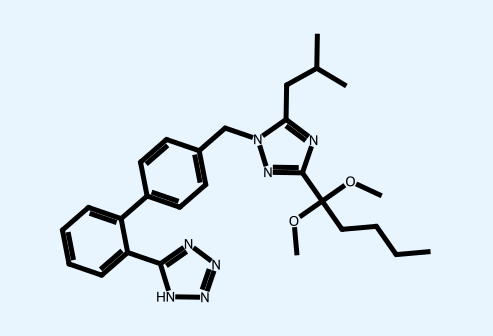 CCCCC(OC)(OC)c1nc(CC(C)C)n(Cc2ccc(-c3ccccc3-c3nnn[nH]3)cc2)n1